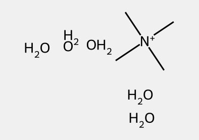 C[N+](C)(C)C.O.O.O.O.O